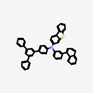 c1ccc(-c2cc(-c3ccccc3)cc(-c3ccc(N(c4cccc(-c5cccc6ccccc56)c4)c4ccc5c(c4)sc4ccccc45)cc3)c2)cc1